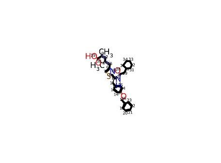 C/C(=C/C(C)=C/c1csc([C@H](Cc2ccc(OCc3ccccc3)cc2)NC(=O)CC2CCCCC2)n1)C(=O)O